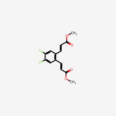 COC(=O)/C=C/c1cc(F)c(F)cc1/C=C/C(=O)OC